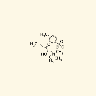 CCCC(=O)C(O)C[N+](C)(C)C.Cc1ccc(S(=O)(=O)[O-])cc1